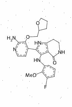 COc1c(F)cccc1Nc1c(-c2ccnc(N)c2OCC2CCCO2)[nH]c2c1C(=O)NCC2